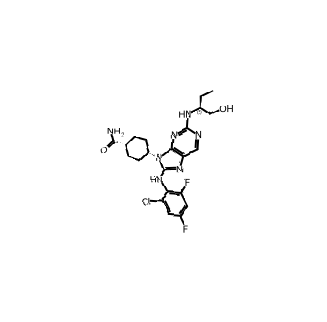 CC[C@@H](CO)Nc1ncc2nc(Nc3c(F)cc(F)cc3Cl)n([C@H]3CC[C@@H](C(N)=O)CC3)c2n1